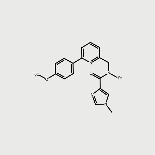 CC(C)N(Cc1cccc(-c2ccc(OC(F)(F)F)cc2)n1)C(=O)c1cn(C)cn1